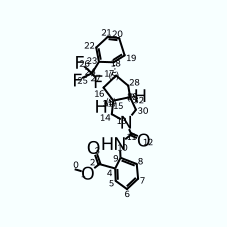 COC(=O)c1ccccc1NC(=O)N1C[C@H]2C[C@H](c3ccccc3C(F)(F)F)C[C@H]2C1